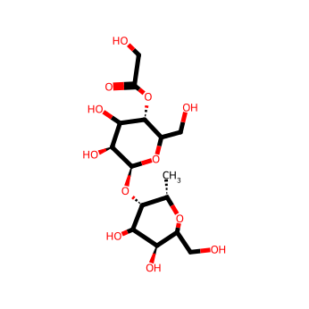 C[C@@H]1OC(CO)[C@@H](O)C(O)[C@@H]1O[C@@H]1OC(CO)[C@@H](OC(=O)CO)C(O)[C@@H]1O